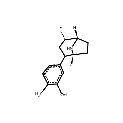 Cc1ccc(C2C[C@H](F)[C@@H]3CC[C@H]2N3)cc1O